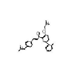 Cc1ccccc1-c1ccc(OCCN(C)C)c(C(=O)/C=C/c2ccc(CN(C)C)cc2)c1